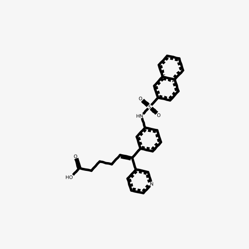 O=C(O)CCCC=C(c1cccnc1)c1cccc(NS(=O)(=O)c2ccc3ccccc3c2)c1